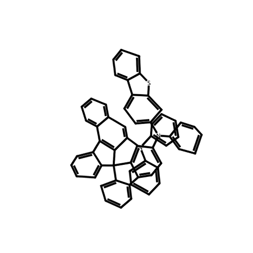 c1ccc(N(c2ccc3c(c2)C2(c4ccccc4-3)c3ccccc3-c3c2c(N(c2ccccc2)c2ccccc2)cc2ccccc32)c2ccc3c(c2)sc2ccccc23)cc1